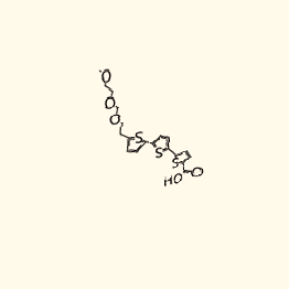 COCCOCOCCc1ccc(-c2ccc(-c3ccc(C(=O)O)s3)s2)s1